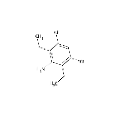 CCc1c(Cl)cc(Cl)c(CC)c1N